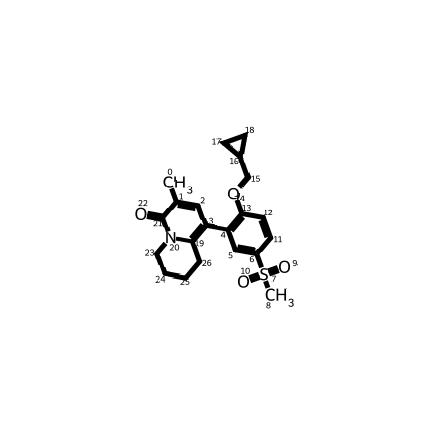 Cc1cc(-c2cc(S(C)(=O)=O)ccc2OCC2CC2)c2n(c1=O)CCCC2